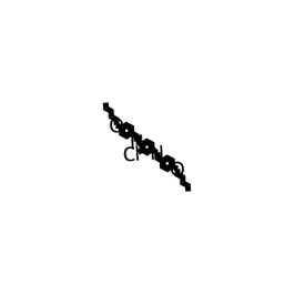 CCCCCOc1ccc(C=Nc2ccc(N=Cc3ccc(OCCCCC)cc3)c(Cl)c2)cc1